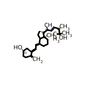 C=C1CC[C@H](O)CC1=CC=C1CCC[C@@]2(C)C1CC[C@@H]2[C@@H](C)/C=C/[C@H](C)C(C)(C)O